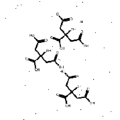 O=C(O)CC(O)(CC(=O)O)C(=O)O.O=C(O)CC(O)(CC(=O)O)C(=O)O.O=C(O)CC(O)(CC(=O)O)C(=O)O.[Al]